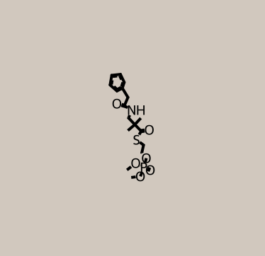 COP(=O)(OC)OCCSC(=O)C(C)(C)CNC(=O)Cc1ccccc1